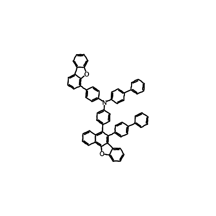 c1ccc(-c2ccc(-c3c(-c4ccc(N(c5ccc(-c6ccccc6)cc5)c5ccc(-c6cccc7c6oc6ccccc67)cc5)cc4)c4ccccc4c4oc5ccccc5c34)cc2)cc1